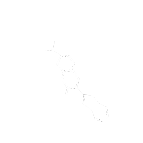 CCN(CC)c1ccc2cc(C3=NC4C=CC=CC4S3)c(=O)oc2c1